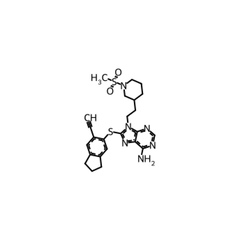 C#Cc1cc2c(cc1Sc1nc3c(N)ncnc3n1CCC1CCCN(S(C)(=O)=O)C1)CCC2